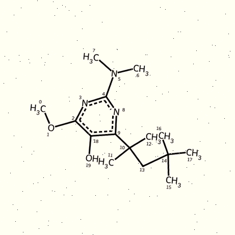 COc1nc(N(C)C)nc(C(C)(C)CC(C)(C)C)c1O